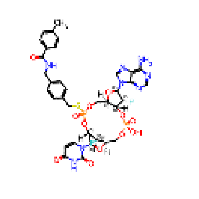 Cc1ccc(C(=O)NCc2ccc(CSP3(=O)OC[C@H]4O[C@@H](n5cnc6c(N)ncnc65)[C@H](F)[C@@H]4OP(=O)(O)OC[C@H]4O[C@@H](n5ccc(=O)[nH]c5=O)[C@H](O3)[C@@H]4F)cc2)cc1